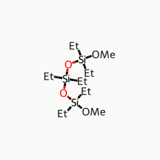 CC[Si](CC)(OC)O[Si](CC)(CC)O[Si](CC)(CC)OC